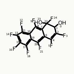 OC1C(F)=C(F)c2c(c(F)c3c(F)c(F)c(F)c(F)c3c2F)C1(O)F